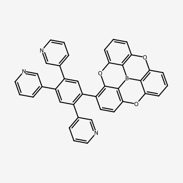 c1cncc(-c2cc(-c3cccnc3)c(-c3ccc4c5c3Oc3cccc6c3B5c3c(cccc3O4)O6)cc2-c2cccnc2)c1